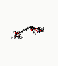 CCC(=O)NCCNC(=O)/N=C(/N)NCCC[C@@H](NC(=O)[C@@H](c1ccccc1)c1cccc(NC(=O)CCOCCOCCOCCOCCNC(=O)CN2CCN(CC(=O)O)CCN(CC(=O)O)CCN(CC(=O)O)CC2)c1)C(=O)NCc1ccc(O)cc1